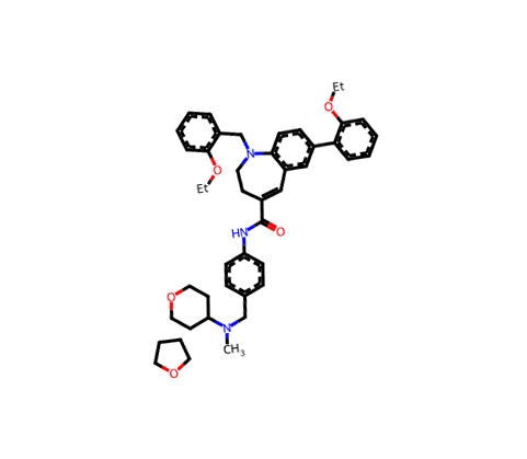 C1CCOC1.CCOc1ccccc1CN1CCC(C(=O)Nc2ccc(CN(C)C3CCOCC3)cc2)=Cc2cc(-c3ccccc3OCC)ccc21